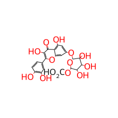 O=C(O)OC1OC(Oc2cc(O)c3c(=O)c(O)c(-c4ccc(O)c(O)c4)oc3c2)C(O)C(O)C1O